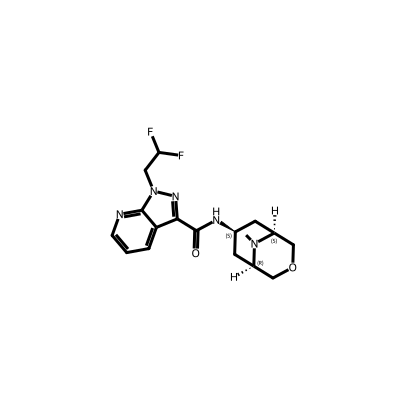 CN1[C@@H]2COC[C@H]1C[C@@H](NC(=O)c1nn(CC(F)F)c3ncccc13)C2